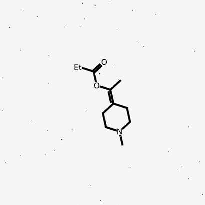 CCC(=O)OC(C)=C1CCN(C)CC1